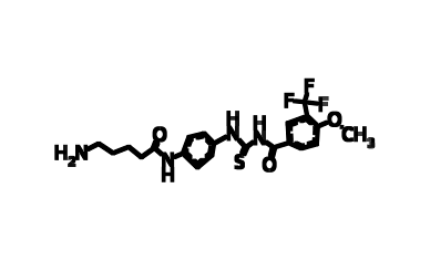 COc1ccc(C(=O)NC(=S)Nc2ccc(NC(=O)CCCCN)cc2)cc1C(F)(F)F